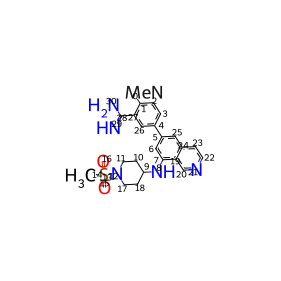 CNc1ccc(-c2cc(NC3CCN(S(C)(=O)=O)CC3)c3cnccc3c2)cc1C(=N)N